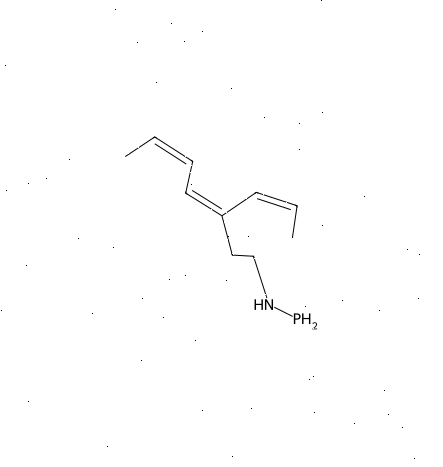 C\C=C/C=C(\C=C/C)CCNP